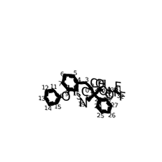 CC(C)(Cc1cccc(Oc2ccccc2)c1)C(C#N)(C(=O)O)c1ccccc1OC(F)F